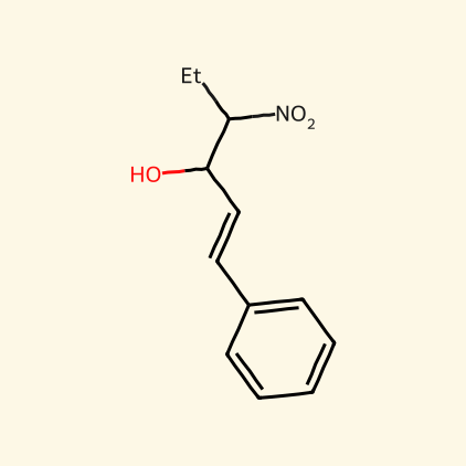 CCC(C(O)/C=C/c1ccccc1)[N+](=O)[O-]